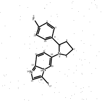 Fc1ccc(C2CCCN2c2ccc3ncc(I)n3c2)cc1